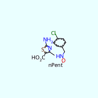 CCCCCONCc1ccc(Cl)cc1.Cc1nc(N)sc1C(=O)O